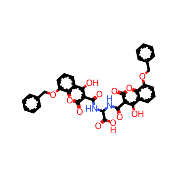 O=C(NC(NC(=O)c1c(O)c2cccc(OCc3ccccc3)c2oc1=O)C(=O)O)c1c(O)c2cccc(OCc3ccccc3)c2oc1=O